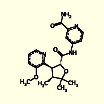 COc1cccnc1[C@H]1[C@H](C(=O)Nc2ccnc(C(N)=O)c2)OC(C)(C)[C@H]1C